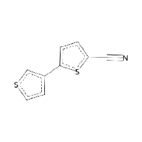 N#Cc1ccc(-c2ccsc2)s1